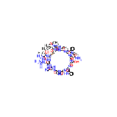 CC[C@H](C)[C@H](NC(C)=O)C(=O)N[C@H]1CSSC[C@@H](C(=O)N[C@H](C(N)=O)[C@@H](C)O)NC(=O)[C@H](CCCNC(=N)N)NC(=O)C(Cc2cnc[nH]2)NC(=O)[C@H](C)NC(=O)CNC(=O)[C@H](Cc2c[nH]c3ccccc23)NC(=O)[C@H](CC(=O)O)NC(=O)[C@H](CCC(N)=O)NC(=O)[C@H](Cc2cn(C)c3ccccc23)NC(=O)[C@H](C(C)C)NC1=O